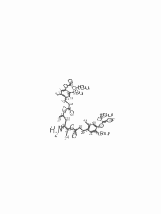 Cc1cc(OC(=O)OC(C)(C)C)c(C(C)(C)C)cc1CCC(=O)OC(C)CC(N)C(C)OC(=O)CCc1cc(C(C)(C)C)c(OC(=O)OC(C)(C)C)cc1C